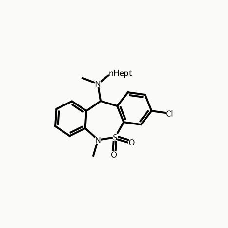 CCCCCCCN(C)C1c2ccccc2N(C)S(=O)(=O)c2cc(Cl)ccc21